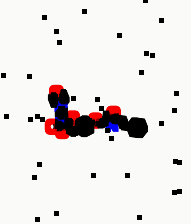 O=C1OC(Cc2ccc(OCc3coc(C=Cc4ccccc4)n3)cc2)C(=O)N1CCN1CCOCC1